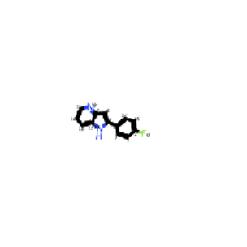 Fc1ccc(-c2cc3ncccc3[nH]2)cc1